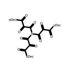 CCCCCCCCCCC(=O)C(=O)C(=O)N(C(=O)C(=O)C(=O)CCCCCCCCCC)C(=O)C(=O)C(=O)CCCCCCCCCC